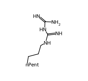 CCCCCCCCNC(=N)NC(=N)N